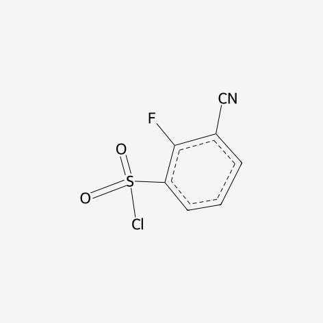 N#Cc1cccc(S(=O)(=O)Cl)c1F